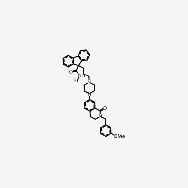 CCNC(=O)C1(CCCN2CCN(c3ccc4c(c3)C(=O)N(Cc3cccc(OC)c3)CC4)CC2)c2ccccc2-c2ccccc21